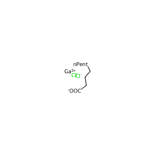 CCCCCCCCC(=O)[O-].[Cl-].[Cl-].[Ga+3]